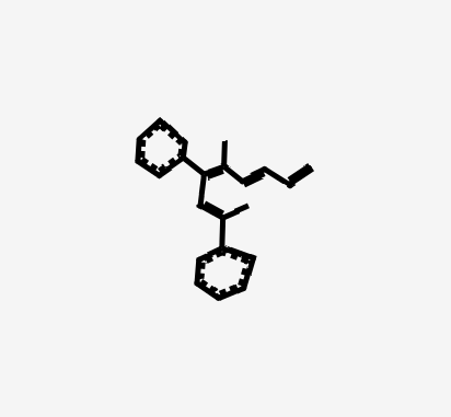 C=CC=CC(C)=C(C=C(C)c1ccccc1)c1ccccc1